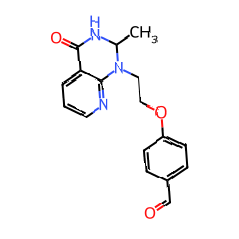 CC1NC(=O)c2cccnc2N1CCOc1ccc(C=O)cc1